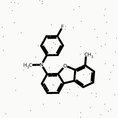 Cc1cccc2c1oc1c(N(C)c3ccc(F)cc3)cccc12